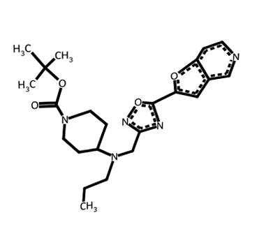 CCCN(Cc1noc(-c2cc3cnccc3o2)n1)C1CCN(C(=O)OC(C)(C)C)CC1